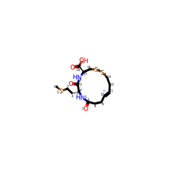 CSCC[C@H]1NC(=O)CC/C=C/CCSSC[C@H](C(=O)O)NC1=O